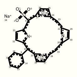 O=S(=O)([O-])c1c2nc(c(-c3ccccc3)c3ccc(cc4nc(cc5ccc1[nH]5)C=C4)[nH]3)C=C2.[Na+]